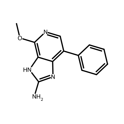 COc1ncc(-c2ccccc2)c2nc(N)[nH]c12